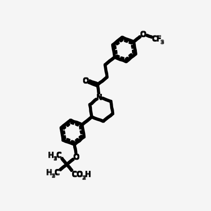 CC(C)(Oc1cccc(C2CCCN(C(=O)CCc3ccc(OC(F)(F)F)cc3)C2)c1)C(=O)O